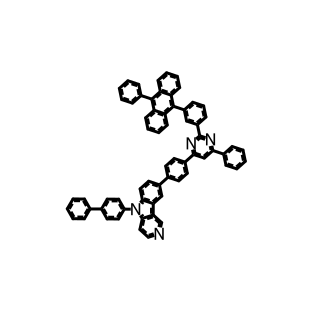 c1ccc(-c2ccc(-n3c4ccncc4c4cc(-c5ccc(-c6cc(-c7ccccc7)nc(-c7cccc(-c8c9ccccc9c(-c9ccccc9)c9ccccc89)c7)n6)cc5)ccc43)cc2)cc1